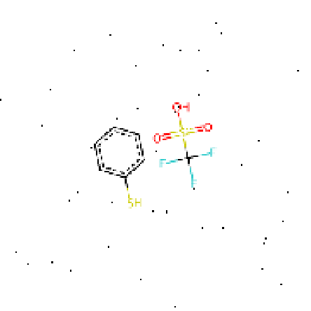 O=S(=O)(O)C(F)(F)F.Sc1ccccc1